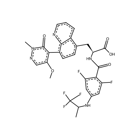 COc1cnn(C)c(=O)c1-c1ccc(C[C@H](NC(=O)c2c(F)cc(NC(C)C(F)(F)F)cc2F)C(=O)O)c2cccnc12